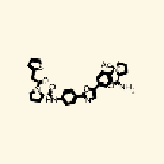 CC(=O)[N+]1(c2ccc(-c3cnc(-c4ccc(NC(=O)[C@@H]5C=CCN5C(=O)Cc5cccs5)cc4)o3)cc2)CCC[C@H]1C(N)=O